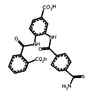 NC(=S)c1ccc(C(=O)Nc2cc(C(=O)O)ccc2NC(=O)c2ccccc2C(=O)O)cc1